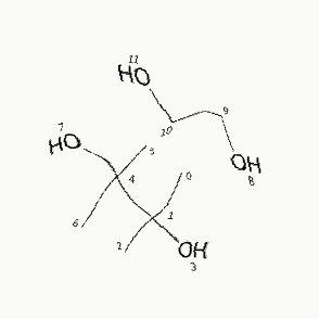 CC(C)(O)C(C)(C)O.OCCO